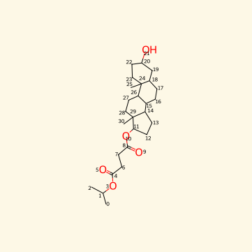 CC(C)OC(=O)CCC(=O)OC1CCC2C3CCC4CC(O)CCC4(C)C3CCC12C